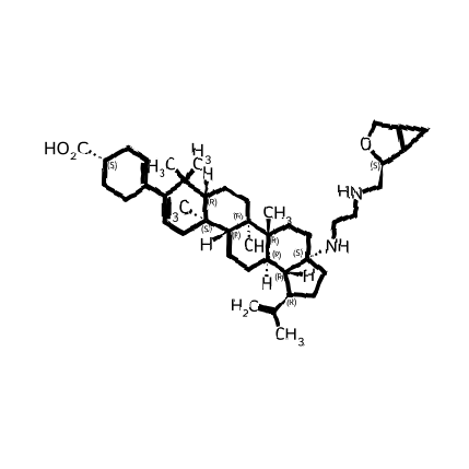 C=C(C)[C@@H]1CC[C@]2(NCCNC[C@H]3OCC4CC43)CC[C@]3(C)[C@H](CC[C@@H]4[C@@]5(C)CC=C(C6=CC[C@@H](C(=O)O)CC6)C(C)(C)[C@@H]5CC[C@]43C)[C@@H]12